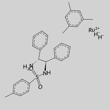 Cc1cc(C)cc(C)c1.Cc1ccc(S(=O)(=O)N[C@H](c2ccccc2)[C@H](N)c2ccccc2)cc1.[H-].[H-].[Ru+2]